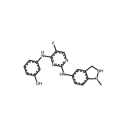 CN1NCc2cc(Nc3ncc(F)c(Nc4cccc(O)c4)n3)ccc21